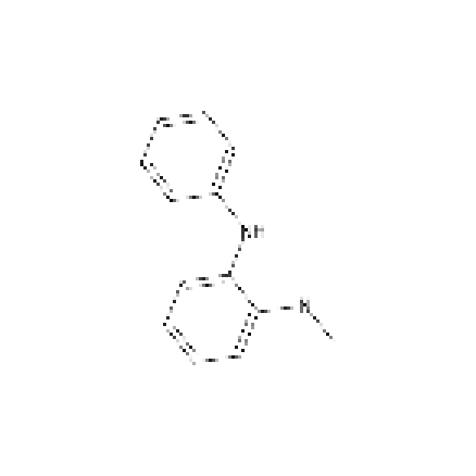 C[N]c1ccccc1Nc1ccccc1